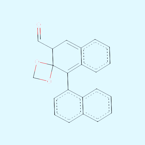 O=CC1C=c2ccccc2=C(c2cccc3ccccc23)C12OCO2